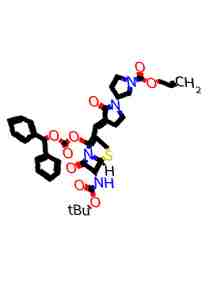 C=CCOC(=O)N1CC[C@@H](N2CC/C(=C\C3=C(OC(=O)OC(c4ccccc4)c4ccccc4)N4C(=O)[C@@H](NC(=O)OC(C)(C)C)[C@H]4SC3)C2=O)C1